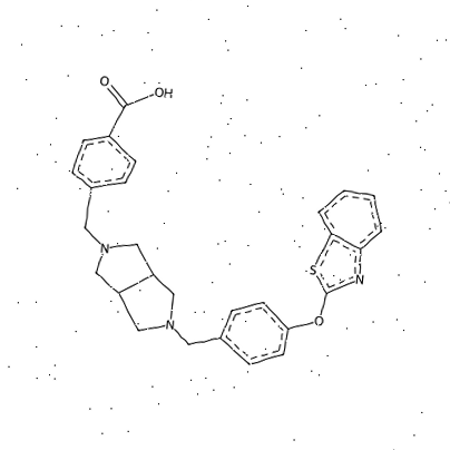 O=C(O)c1ccc(CN2CC3CN(Cc4ccc(Oc5nc6ccccc6s5)cc4)CC3C2)cc1